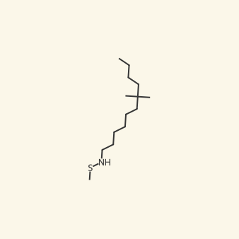 CCCCC(C)(C)CCCCCCNSC